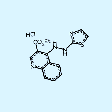 CCOC(=O)c1cnc2ccccc2c1NNc1nccs1.Cl